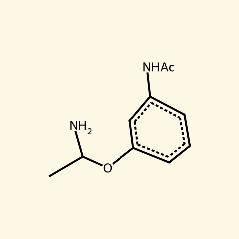 CC(=O)Nc1cccc(OC(C)N)c1